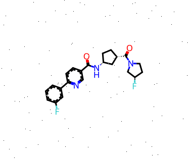 O=C(N[C@@H]1CC[C@H](C(=O)N2CC[C@@H](F)C2)C1)c1ccc(-c2cccc(F)c2)nc1